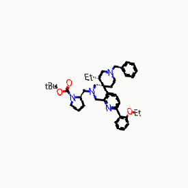 CCOc1ccccc1-c1ccc2c(n1)CN(C[C@H]1CCCN1C(=O)OC(C)(C)C)C[C@]21CCN(Cc2ccccc2)C[C@H]1CC